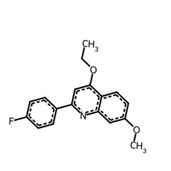 CCOc1cc(-c2ccc(F)cc2)nc2cc(OC)ccc12